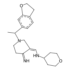 CC(c1ccc2c(c1)OCC2)N1CCC(=N)/C(=C\NC2CCOCC2)C1